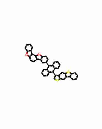 c1ccc2c(c1)oc1ccc3c4cc(-c5c6ccccc6c(-c6csc7cc8c(cc67)sc6ccccc68)c6ccccc56)ccc4oc3c12